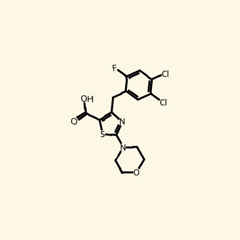 O=C(O)c1sc(N2CCOCC2)nc1Cc1cc(Cl)c(Cl)cc1F